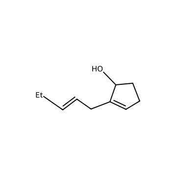 CCC=CCC1=CCCC1O